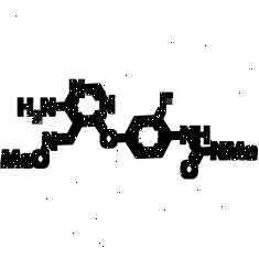 CNC(=O)Nc1ccc(Oc2ncnc(N)c2C=NOC)cc1F